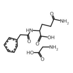 NC(=O)CCC(NC(=O)Cc1ccccc1)C(=O)O.NCC(=O)O